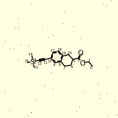 CCOC(=O)C1CCc2cc(C#C[Si](C)(C)C)ccc2C1